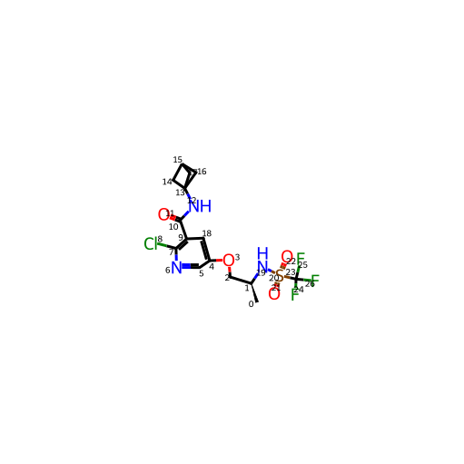 C[C@@H](COc1cnc(Cl)c(C(=O)NC23CC(C2)C3)c1)NS(=O)(=O)C(F)(F)F